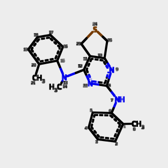 Cc1ccccc1Nc1nc2c(c(N(C)c3ccccc3C)n1)CSC2